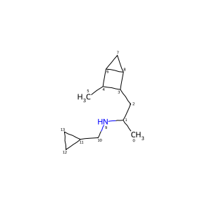 CC(CC1C(C)C2CC12)NCC1CC1